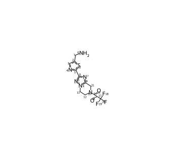 NCc1cnc(-c2nc3n(n2)CCN(S(=O)(=O)C(F)(F)F)C3)s1